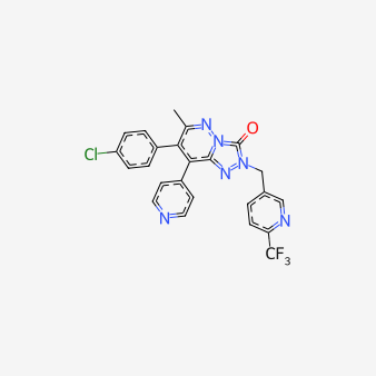 Cc1nn2c(=O)n(Cc3ccc(C(F)(F)F)nc3)nc2c(-c2ccncc2)c1-c1ccc(Cl)cc1